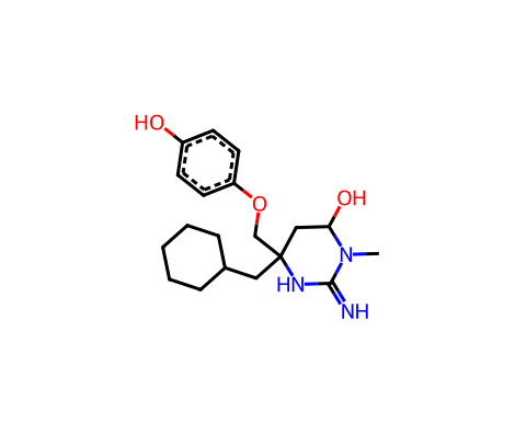 CN1C(=N)NC(COc2ccc(O)cc2)(CC2CCCCC2)CC1O